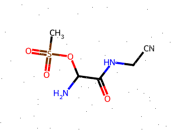 CS(=O)(=O)OC(N)C(=O)NCC#N